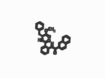 COC(=O)[C@H](Cc1ccccc1)NC(=O)c1ccccc1NC(=O)c1ccc2ccccc2c1